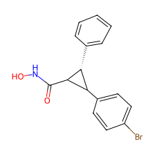 O=C(NO)C1C(c2ccc(Br)cc2)[C@H]1c1ccccc1